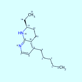 CCCCCc1ccnc2c1CC[C@H](CC)N2